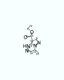 CCOC(=O)c1cnn2c1NN=CC2C